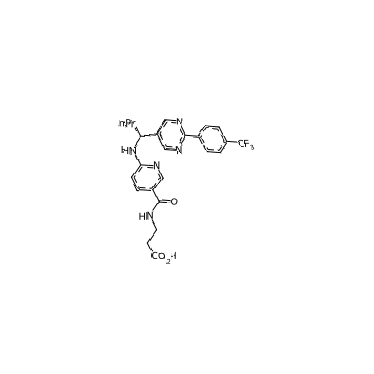 CCCC(Nc1ccc(C(=O)NCCC(=O)O)cn1)c1cnc(-c2ccc(C(F)(F)F)cc2)nc1